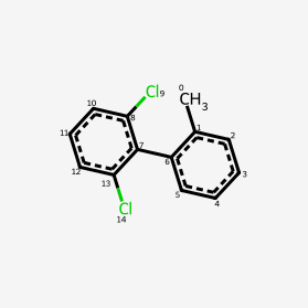 Cc1ccccc1-c1c(Cl)cccc1Cl